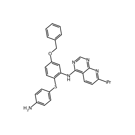 CC(C)c1ccc2c(Nc3cc(OCc4ccccc4)ccc3Sc3ccc(N)cc3)ncnc2n1